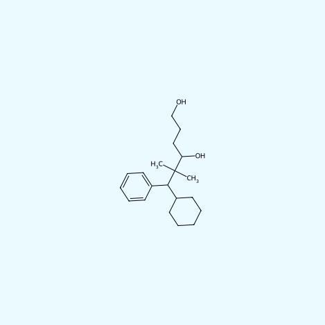 CC(C)(C(O)CCCO)C(c1ccccc1)C1CCCCC1